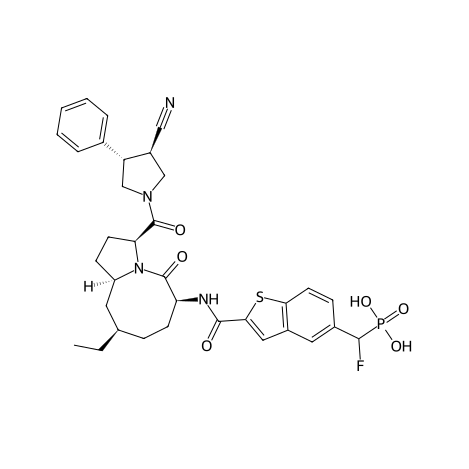 CC[C@@H]1CC[C@H](NC(=O)c2cc3cc(C(F)P(=O)(O)O)ccc3s2)C(=O)N2[C@H](CC[C@H]2C(=O)N2C[C@H](c3ccccc3)[C@@H](C#N)C2)C1